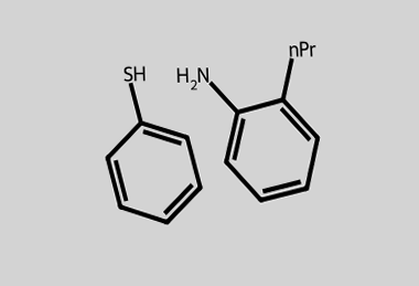 CCCc1ccccc1N.Sc1ccccc1